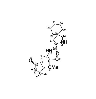 COC(=O)[C@H](C[C@@H]1CC(C)(C)NC1=O)NC(=O)C1CC2(CCCCC2)CN1